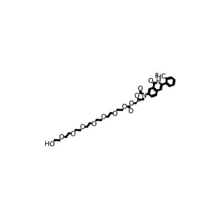 O=C(OCCOCCOCCOCCOCCOCCOCCO)OC[C@@H]1CN(c2ccc3cc(-c4ccccc4C(F)(F)F)[nH]c(=O)c3c2)C(=O)O1